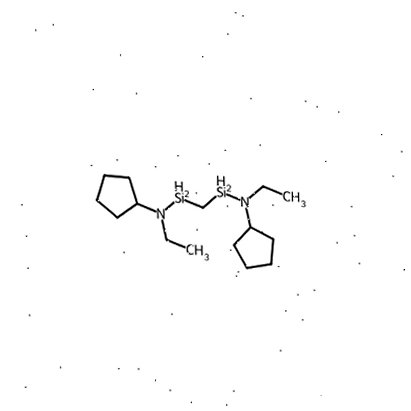 CCN([SiH2]C[SiH2]N(CC)C1CCCC1)C1CCCC1